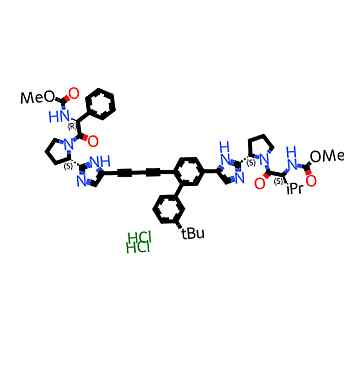 COC(=O)N[C@H](C(=O)N1CCC[C@H]1c1ncc(-c2ccc(C#CC#Cc3cnc([C@@H]4CCCN4C(=O)[C@H](NC(=O)OC)c4ccccc4)[nH]3)c(-c3cccc(C(C)(C)C)c3)c2)[nH]1)C(C)C.Cl.Cl